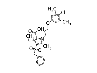 CCc1c(S(=O)(=O)Cc2ccccc2)c(C)n(CCCOc2cc(C)c(Cl)c(C)c2)c1C(=O)O